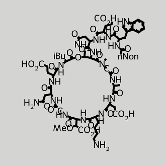 CCCCCCCCCC(=O)NC(Cc1c[nH]c2ccccc12)C(=O)NC(CCC(=O)O)C(=O)NC(CC(N)=O)C(=O)NC1C(=O)N(C)CC(=O)NC(C)C(=O)NC(CC(=O)O)C(=O)NC(CCCCN)C(=O)NC(C(OC)C(=O)O)C(=O)NCC(=O)NC(CC(N)=O)C(=O)NC(CCC(=O)O)C(=O)NC(C(C)CC)C(=O)OC1C